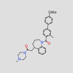 COc1ccc(-c2ccc(C(=O)N3CCCC(CC(=O)N4CCN(C)CC4)c4ccccc43)c(C)c2)cc1